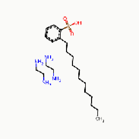 CCCCCCCCCCCCc1ccccc1S(=O)(=O)O.NCCN.NCCN